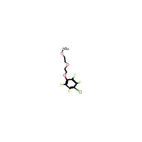 CCCCOCCOCCOc1c(F)c(F)c(Cl)c(F)c1F